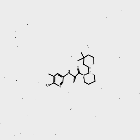 Cc1cc(NC(=O)C(=O)N2CCCC[C@H]2[C@H]2CCCC(C)(C)C2)cnc1N